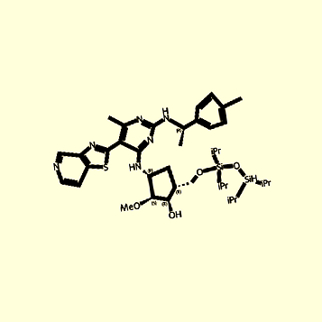 CO[C@@H]1[C@H](O)[C@@H](CO[Si](O[SiH](C(C)C)C(C)C)(C(C)C)C(C)C)C[C@H]1Nc1nc(N[C@H](C)c2ccc(C)cc2)nc(C)c1-c1nc2cnccc2s1